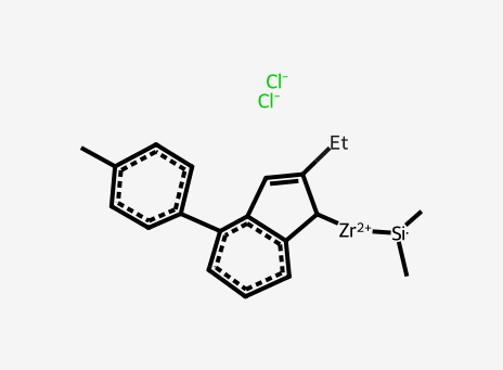 CCC1=Cc2c(-c3ccc(C)cc3)cccc2[CH]1[Zr+2][Si](C)C.[Cl-].[Cl-]